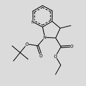 CCOC(=O)C1C(C)c2cccnc2N1C(=O)OC(C)(C)C